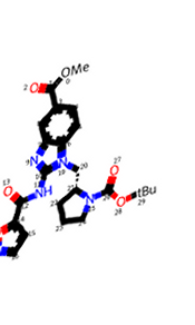 COC(=O)c1ccc2c(c1)nc(NC(=O)c1ccno1)n2C[C@H]1CCCN1C(=O)OC(C)(C)C